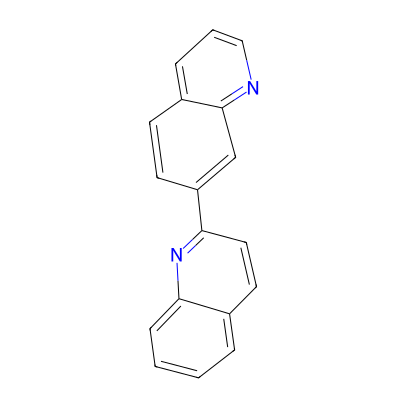 c1cnc2cc(-c3ccc4ccccc4n3)ccc2c1